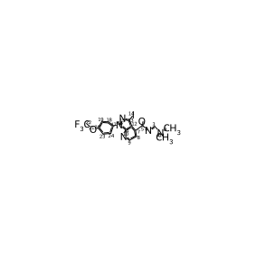 CN(C)C=NC(=O)c1ccnc2c1c(I)nn2-c1ccc(OC(F)(F)F)cc1